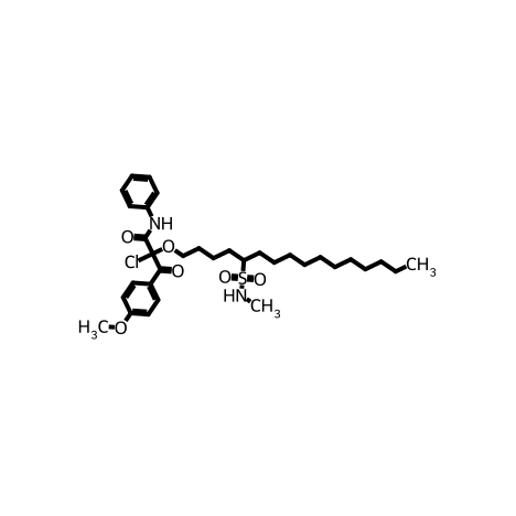 CCCCCCCCCCCC(CCCCOC(Cl)(C(=O)Nc1ccccc1)C(=O)c1ccc(OC)cc1)S(=O)(=O)NC